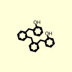 Oc1ccccc1Cc1ccccc1Cc1ccccc1Cc1ccccc1O